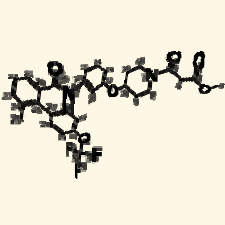 COC(=O)CC(=O)N1CCC(Oc2cccc(NC(=O)c3cccc(C)c3-c3ccc(OC(F)(F)F)cc3)c2)CC1